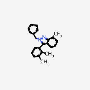 Cc1cccc(-c2c3cccc(C(F)(F)F)c3nn2Cc2ccccc2)c1C